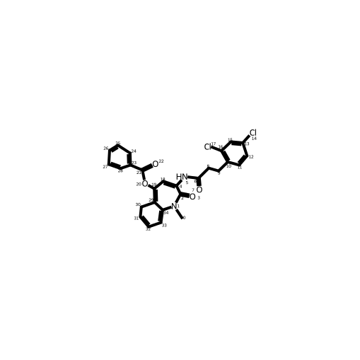 CN1C(=O)C(NC(=O)CCc2ccc(Cl)cc2Cl)=CC(OC(=O)c2ccccc2)=C2CC=CC=C21